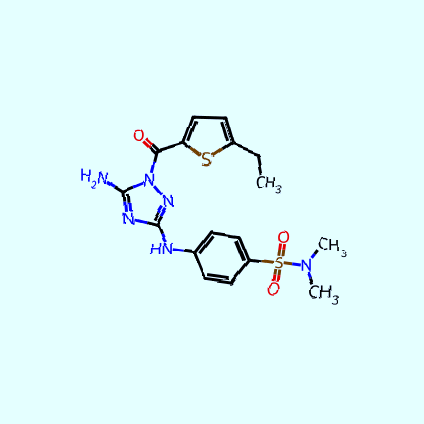 CCc1ccc(C(=O)n2nc(Nc3ccc(S(=O)(=O)N(C)C)cc3)nc2N)s1